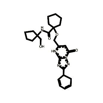 O=C(NC1(CO)CCCC1)C1(OCc2cc(=O)n3nc(C4C=CC=CC4)nc3[nH]2)CCCCC1